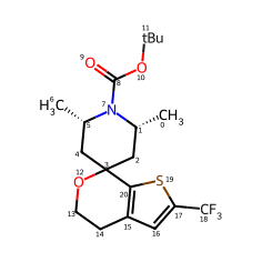 C[C@@H]1CC2(C[C@H](C)N1C(=O)OC(C)(C)C)OCCc1cc(C(F)(F)F)sc12